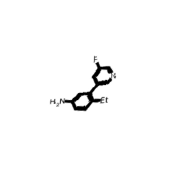 CCc1ccc(N)cc1-c1cncc(F)c1